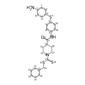 Nc1ccc(Sc2ccc(NC(=O)C3CCN(C(=S)SCc4ccccc4)CC3)cc2)cc1